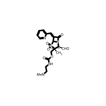 CNCCNC(=O)OC[C@@]1(C)[C@H](C=O)N2C(=O)/C(=C/c3ccccn3)C2S1(=O)=O